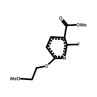 COCCOc1ccc(C(=O)OC)c(F)n1